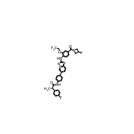 C[C@@H](C(=O)Nc1ccc(-c2ccc3nc(Nc4ccc(C(=O)N5CC(F)C5)cc4OCC(F)(F)F)nn3c2)cc1)c1ccc(F)cc1